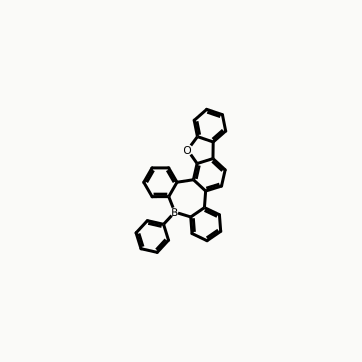 c1ccc(B2c3ccccc3-c3ccc4c(oc5ccccc54)c3-c3ccccc32)cc1